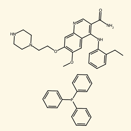 CCc1ccccc1Nc1c(C(N)=O)cnc2cc(OCCN3CCNCC3)c(OC)cc12.c1ccc(P(c2ccccc2)c2ccccc2)cc1